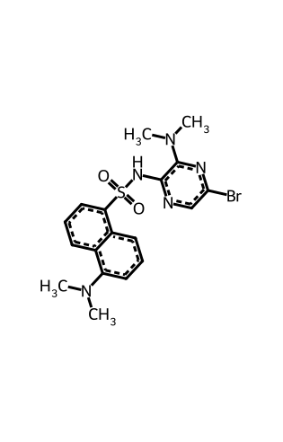 CN(C)c1nc(Br)cnc1NS(=O)(=O)c1cccc2c(N(C)C)cccc12